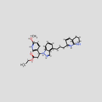 CCOC(=O)CC(c1ccc(OC)nc1)n1ncc2c(CCCc3ccc4c(n3)NCCC4)cccc21